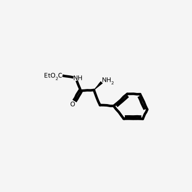 CCOC(=O)NC(=O)[C@@H](N)Cc1ccccc1